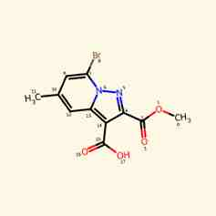 COC(=O)c1nn2c(Br)cc(C)cc2c1C(=O)O